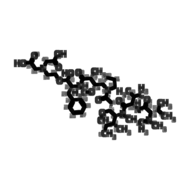 CC[C@H](C)[C@@H]([C@@H](CC(=O)N1CCC[C@H]1[C@H](OC)[C@@H](C)C(=O)N[C@@H](Cc1ccccc1)C(O)OCCN(CC(=O)O)CC(=O)O)OC)N(C)C(=O)[C@@H](NC(=O)[C@H](C(C)C)N(C)C)C(C)C